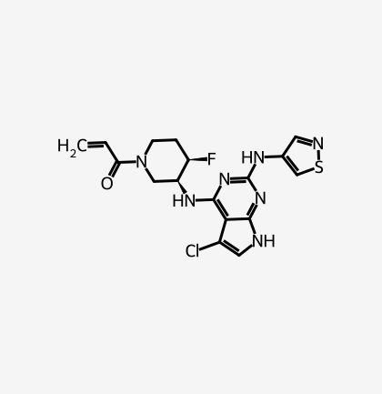 C=CC(=O)N1CC[C@@H](F)[C@@H](Nc2nc(Nc3cnsc3)nc3[nH]cc(Cl)c23)C1